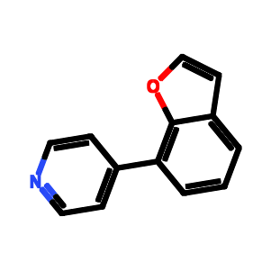 c1cc(-c2ccncc2)c2occc2c1